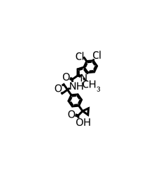 Cn1c(C(=O)NC2(c3ccc(C4(C(=O)O)CC4)cc3)COC2)cc2c(Cl)c(Cl)ccc21